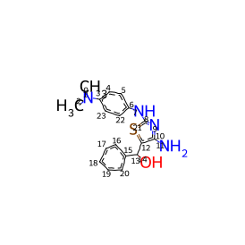 CN(C)c1ccc(Nc2nc(N)c(C(O)c3ccccc3)s2)cc1